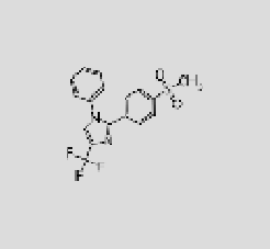 CS(=O)(=O)c1ccc(-c2nc(C(F)(F)F)cn2-c2ccccc2)cc1